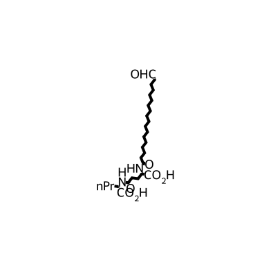 CCCC(NC(=O)CCC(NC(=O)CCCCCCCCCCCCCCCCC=O)C(=O)O)C(=O)O